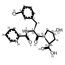 O=C(N[C@@H](Cc1cccc(Cl)c1)C(=O)N1C[C@H](O)C[C@H]1C(=O)O)c1ccccn1